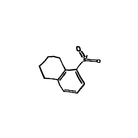 O=[SH](=O)c1cccc2c1CCCC2